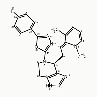 CC1=CC=CN(N)/C1=C\C[C@H]1c2nc[nH]c2CCN1c1nnc(-c2ccc(F)cc2)o1